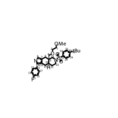 COCCOC[C@]12Cc3cnn(-c4ccc(F)cc4)c3C[C@@H]1CCN(S(=O)(=O)c1ccc(C(C)(C)C)cc1)C2